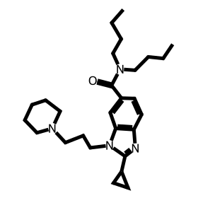 CCCCN(CCCC)C(=O)c1ccc2nc(C3CC3)n(CCCN3CCCCC3)c2c1